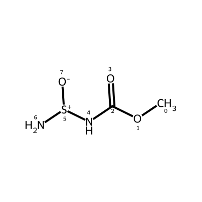 COC(=O)N[S+](N)[O-]